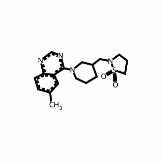 Cc1ccc2ncnc(N3CCCC(CN4CCCS4(=O)=O)C3)c2c1